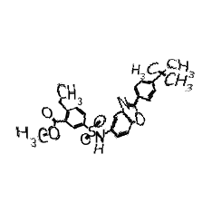 CCc1ccc(S(=O)(=O)Nc2ccc3oc(-c4ccc(C(C)(C)C)cc4)nc3c2)cc1C(=O)OC